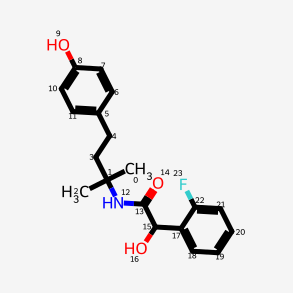 CC(C)(CCc1ccc(O)cc1)NC(=O)C(O)c1ccccc1F